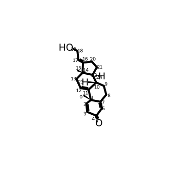 C[C@]12C=CC(=O)C=C1CC[C@@H]1C2=CC[C@]2(C)C(=CCO)CC[C@@H]12